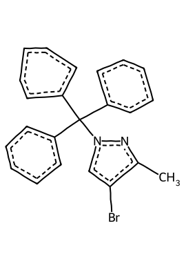 Cc1nn(C(c2ccccc2)(c2ccccc2)c2ccccc2)cc1Br